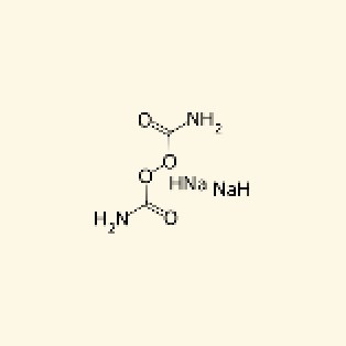 NC(=O)OOC(N)=O.[NaH].[NaH]